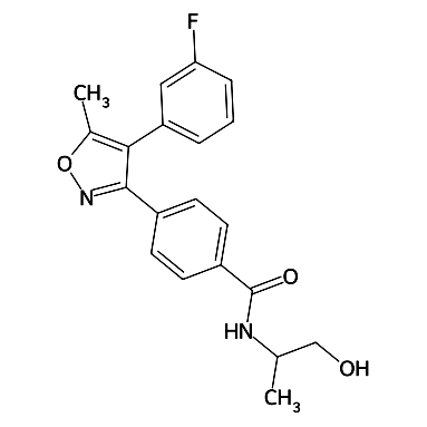 Cc1onc(-c2ccc(C(=O)NC(C)CO)cc2)c1-c1cccc(F)c1